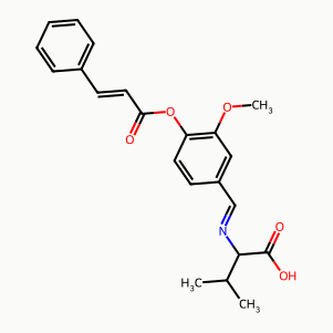 COc1cc(/C=N/C(C(=O)O)C(C)C)ccc1OC(=O)C=Cc1ccccc1